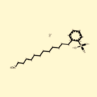 CCCCCCCCCCCCCCCCCCCCCCc1ccccc1S(=O)(=O)[O-].[Li+]